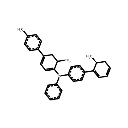 Cc1ccc(C2=CC=C(N(c3ccccc3)c3ccc(C4=CC=CC[C@@H]4C)cc3)C(C)C2)cc1